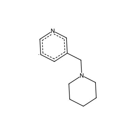 [c]1cncc(CN2CCCCC2)c1